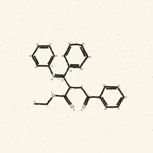 CCOC(=O)C(CC(=O)c1ccccc1)/C(=N/c1ccccc1)c1ccccc1